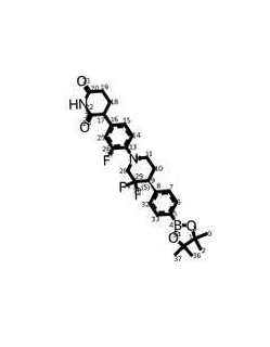 CC1(C)OB(c2ccc([C@@H]3CCN(c4ccc(C5CCC(=O)NC5=O)cc4F)CC3(F)F)cc2)OC1(C)C